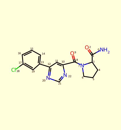 NC(=O)C1CCCN1C(=O)c1cc(-c2cccc(Cl)c2)ncn1